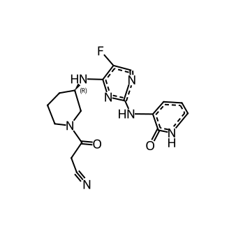 N#CCC(=O)N1CCC[C@@H](Nc2nc(Nc3ccc[nH]c3=O)ncc2F)C1